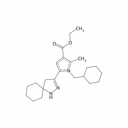 CCOC(=O)c1cc(C2=NNC3(CCCCC3)C2)n(CC2CCCCC2)c1C